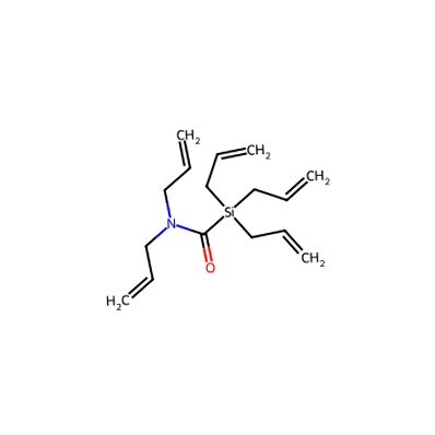 C=CCN(CC=C)C(=O)[Si](CC=C)(CC=C)CC=C